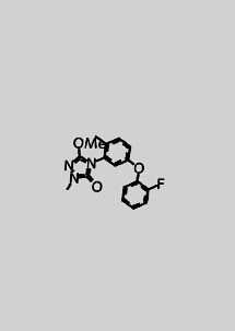 COc1nn(C)c(=O)n1-c1cc(Oc2ccccc2F)ccc1C